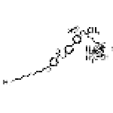 CCCCCCCCCCOc1ccc(C(=O)Oc2ccc(-c3ccc(O[C@@H](C)CCCC[Si](C)(C)O[Si](C)(C)C)c([N+](=O)[O-])c3)cc2)cc1